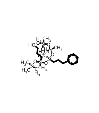 C[Si](C)(C)O[Si](C)(C)O[Si](C)(CCCc1ccccc1)O[Si](C)(CCCO)O[Si](C)(C)C